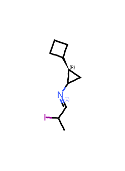 CC(I)/C=N/C1C[C@@H]1C1CCC1